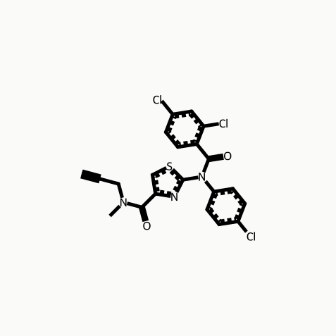 C#CCN(C)C(=O)c1csc(N(C(=O)c2ccc(Cl)cc2Cl)c2ccc(Cl)cc2)n1